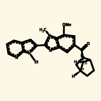 CCn1c(-c2nc3cc(C(=O)N4C[C@H]5CCC4[C@@H]5N)cc(OC)c3n2C)cc2cccnc21